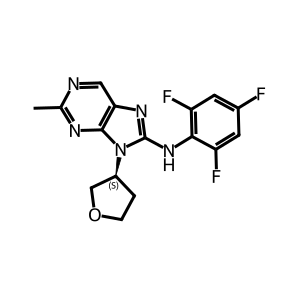 Cc1ncc2nc(Nc3c(F)cc(F)cc3F)n([C@H]3CCOC3)c2n1